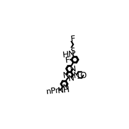 CCCNc1ccc(-c2nc(N3CCOCC3)c3nc(-c4cccc(NSCCCF)c4F)ccc3n2)cn1